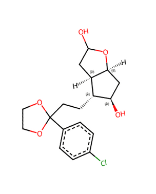 OC1C[C@@H]2[C@@H](CCC3(c4ccc(Cl)cc4)OCCO3)[C@H](O)C[C@@H]2O1